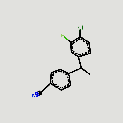 CC(c1ccc(C#N)cc1)c1ccc(Cl)c(F)c1